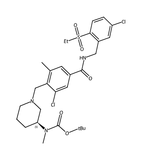 CCS(=O)(=O)c1ccc(Cl)cc1CNC(=O)c1cc(C)c(CN2CCC[C@H](N(C)C(=O)OC(C)(C)C)C2)c(Cl)c1